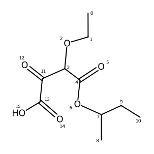 CCOC(C(=O)OC(C)CC)C(=O)C(=O)O